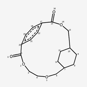 O=C1OCCOCC2CCC(CC2)COC(=O)c2ccc1cc2